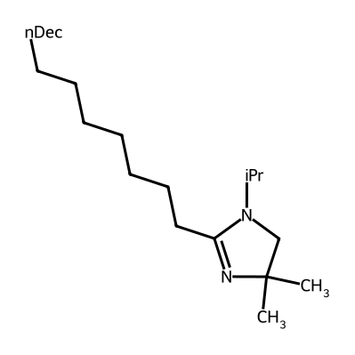 CCCCCCCCCCCCCCCCCC1=NC(C)(C)CN1C(C)C